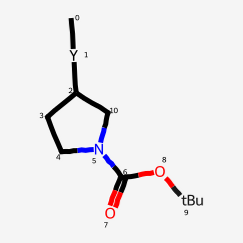 [CH3][Y][CH]1CCN(C(=O)OC(C)(C)C)C1